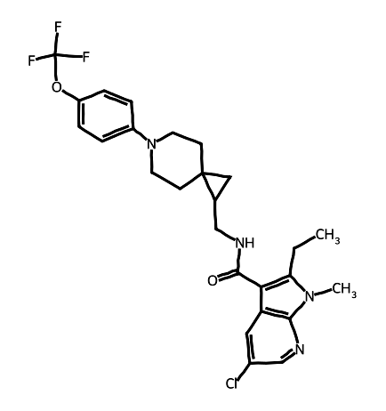 CCc1c(C(=O)NCC2CC23CCN(c2ccc(OC(F)(F)F)cc2)CC3)c2cc(Cl)cnc2n1C